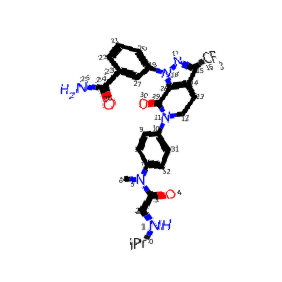 CC(C)NCC(=O)N(C)c1ccc(N2CCc3c(C(F)(F)F)nn(-c4cccc(C(N)=O)c4)c3C2=O)cc1